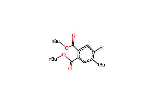 CCCCOC(=O)c1cc(CC)c(C(C)(C)C)cc1C(=O)OCCCC